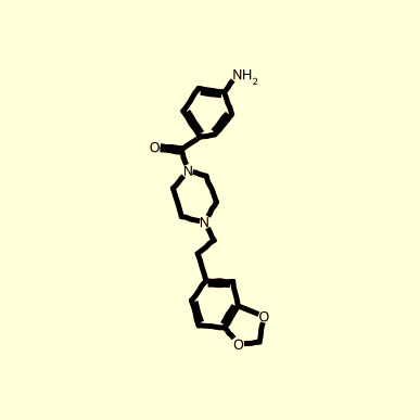 Nc1ccc(C(=O)N2CCN(CCc3ccc4c(c3)OCO4)CC2)cc1